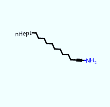 CCCCCCCCCCCCCCCCCC#CN